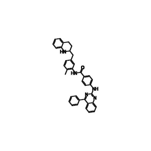 Cc1ccc(CC2CCc3ccccc3N2)cc1NC(=O)c1ccc(Nc2nc(-c3ccccc3)c3ccccc3n2)cc1